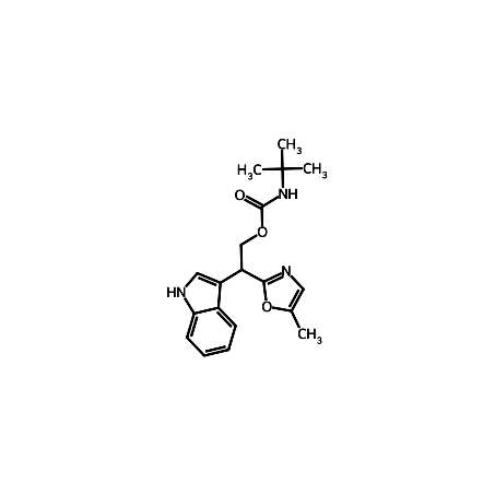 Cc1cnc(C(COC(=O)NC(C)(C)C)c2c[nH]c3ccccc23)o1